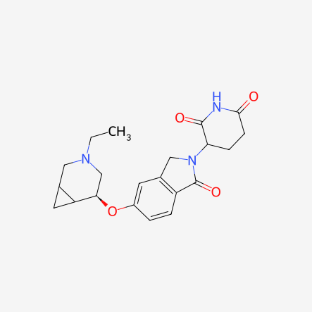 CCN1CC2CC2[C@H](Oc2ccc3c(c2)CN(C2CCC(=O)NC2=O)C3=O)C1